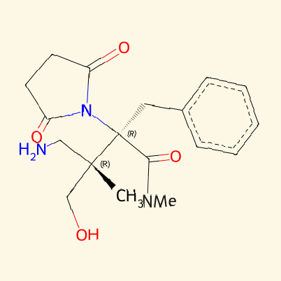 CNC(=O)[C@](Cc1ccccc1)(N1C(=O)CCC1=O)[C@@](C)(CN)CO